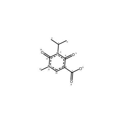 CC(C)n1c(=O)c(C(=O)Cl)cn(C)c1=O